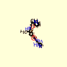 C#Cc1c(NC(=O)CC(C)c2ccccn2)sc2c1CCC(OC(=O)NCc1ccn[nH]1)C2